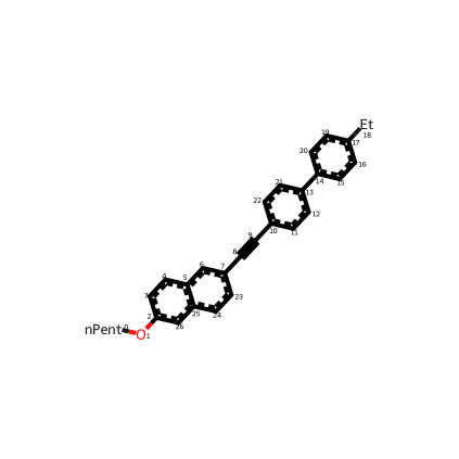 CCCCCOc1ccc2cc(C#Cc3ccc(-c4ccc(CC)cc4)cc3)ccc2c1